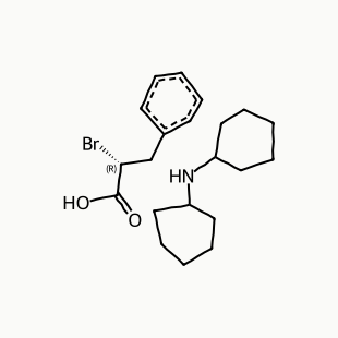 C1CCC(NC2CCCCC2)CC1.O=C(O)[C@H](Br)Cc1ccccc1